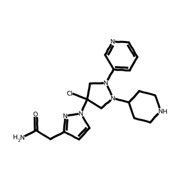 NC(=O)Cc1ccn(C2(Cl)CN(c3cccnc3)N(C3CCNCC3)C2)n1